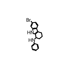 Brc1ccc2c3c([nH]c2c1)C(Nc1ccccc1)CCC3